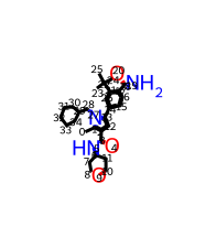 Cc1c(C(=O)NC2CCOCC2)cc(-c2ccc(C(N)=O)c(C(C)(C)C)c2)n1CC1CCCCC1